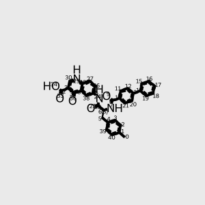 Cc1ccc(C[C@H](NC(=O)c2ccc(-c3ccccc3)cc2)C(=O)Nc2ccc3[nH]cc(C(=O)O)c(=O)c3c2)cc1